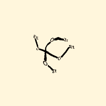 CCOC([O][Zr])(OCC)OCC